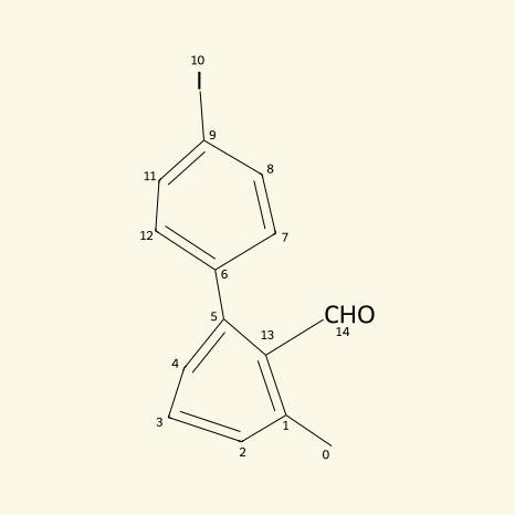 Cc1cccc(-c2ccc(I)cc2)c1C=O